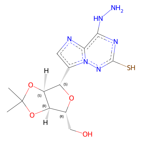 CC1(C)O[C@@H]2[C@H](O1)[C@@H](CO)O[C@H]2c1cnc2c(NN)nc(S)nn12